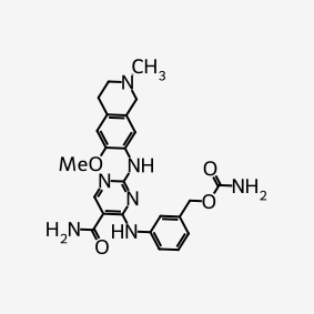 COc1cc2c(cc1Nc1ncc(C(N)=O)c(Nc3cccc(COC(N)=O)c3)n1)CN(C)CC2